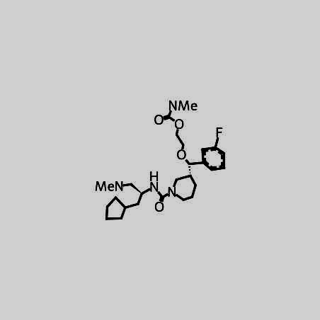 CNC[C@H](CC1CCCC1)NC(=O)N1CCC[C@@H](C(OCCOC(=O)NC)c2cccc(F)c2)C1